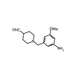 COc1cc(N)cc(CN2CCC([C]=O)CC2)c1